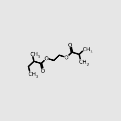 CCC(C)C(=O)OCCOC(=O)C(C)C